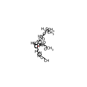 C#CCOc1cnc(/C(F)=C/c2ccc(F)c([C@@]3(C)N=C(OC(=O)NCOCC[Si](C)(C)C)S[C@@]4(C(=O)NCC(C)=O)C[C@H]43)c2)cn1